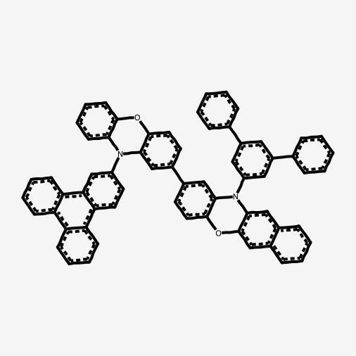 c1ccc(-c2cc(-c3ccccc3)cc(N3c4cc(-c5ccc6c(c5)N(c5ccc7c8ccccc8c8ccccc8c7c5)c5ccccc5O6)ccc4Oc4cc5ccccc5cc43)c2)cc1